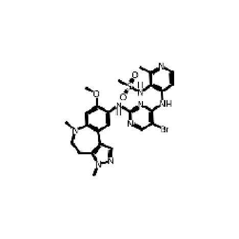 COc1cc2c(cc1Nc1ncc(Br)c(Nc3ccnc(C)c3NS(C)(=O)=O)n1)-c1cnn(C)c1CCN2C